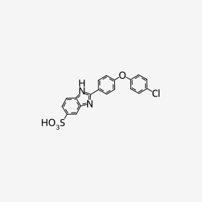 O=S(=O)(O)c1ccc2[nH]c(-c3ccc(Oc4ccc(Cl)cc4)cc3)nc2c1